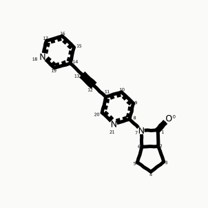 O=C1C2CCCC2N1c1ccc(C#Cc2cccnc2)cn1